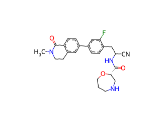 CN1CCc2cc(-c3ccc(CC(C#N)NC(=O)[C@@H]4CNCCCO4)c(F)c3)ccc2C1=O